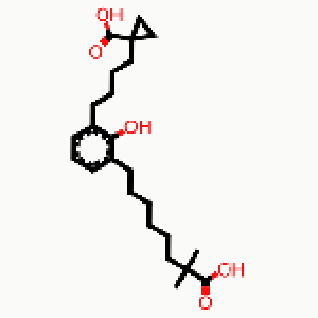 CC(C)(CCCCCCc1cccc(CCCCC2(C(=O)O)CC2)c1O)C(=O)O